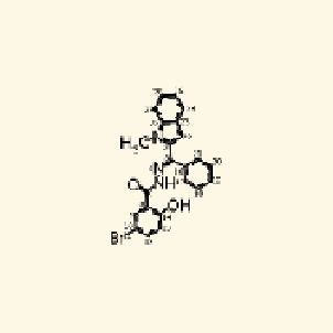 Cn1c(/C(=N/NC(=O)c2cc(Br)ccc2O)c2ccccc2)cc2ccccc21